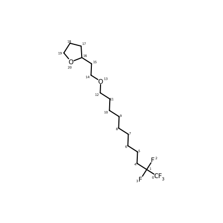 FC(F)(F)C(F)(F)CCCCCCCCCOCCC1CCCO1